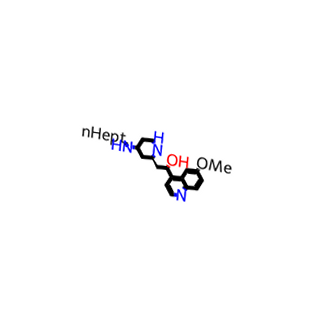 CCCCCCCNC1CCN[C@@H](CC(O)c2ccnc3ccc(OC)cc23)C1